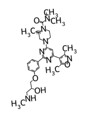 CNCC(O)COc1cccc(-c2nc(-c3c(C)noc3C)cc(N3CCN(C(=O)N(C)C)[C@H](C)C3)n2)c1